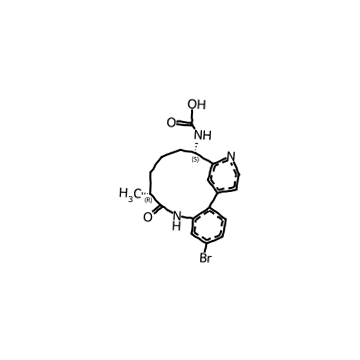 C[C@@H]1CCC[C@H](NC(=O)O)c2cc(ccn2)-c2ccc(Br)cc2NC1=O